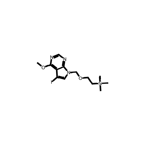 COc1ncnc2c1c(I)cn2COCC[Si](C)(C)C